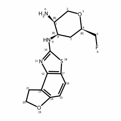 N[C@H]1CO[C@@H](CF)C[C@H]1Nc1nc2c3c(ccc2s1)OCC3